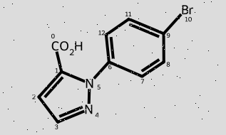 O=C(O)c1ccnn1-c1ccc(Br)cc1